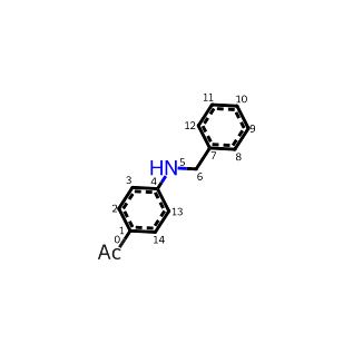 CC(=O)c1ccc(NCc2ccccc2)cc1